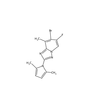 Cc1c(Br)c(F)cn2nc(-n3c(C)ccc3C)nc12